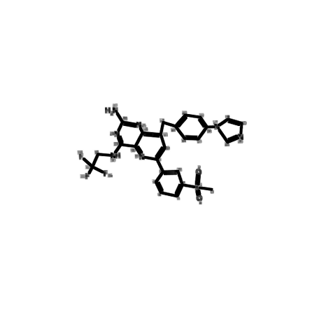 CS(=O)(=O)c1cccc(-c2cc(Cc3ccc(-n4ccnc4)cc3)c3nc(N)nc(NCC(F)(F)F)c3n2)c1